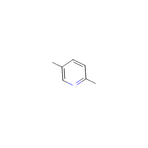 ClC(Cl)(Cl)c1ccc(C(Cl)(Cl)Cl)nc1